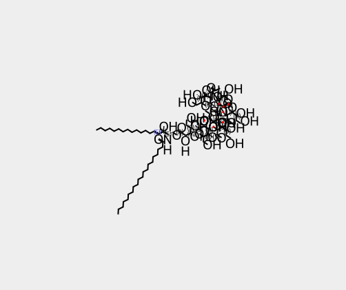 CCCCCCCCCCCCC/C=C/[C@@H](O)[C@H](CO[C@@H]1OC(CO)[C@@H](O[C@@H]2OC(CO)[C@H](O[C@@H]3OC(CO)[C@H](O)[C@H](O[C@@H]4OC(CO)[C@H](O)[C@H](O[C@@H]5OC(CO)[C@H](O)[C@H](O[C@H]6OC(CO)[C@H](O)[C@H](O)C6NC(C)=O)C5O[C@H]5OC(C)[C@@H](O)C(O)[C@@H]5O)C4NC(C)=O)C3O)[C@H](O)C2O)[C@H](O)C1O)NC(=O)CCCCCCCCCCCCCCCCCCC